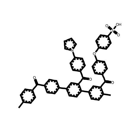 Cc1ccc(C(=O)c2ccc(-c3ccc(-c4ccc(C)c(C(=O)c5ccc(Oc6ccc(S(=O)(=O)O)cc6)cc5)c4)c(C(=O)c4ccc(-n5cccc5)cc4)c3)cc2)cc1